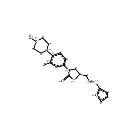 O=C1O[C@H](CNSc2ccco2)CN1c1ccc(N2CC[S+]([O-])CC2)c(F)c1